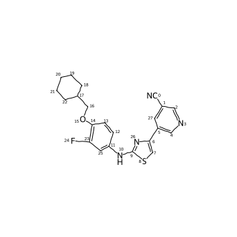 N#Cc1cncc(-c2csc(Nc3ccc(OCC4CCCCC4)c(F)c3)n2)c1